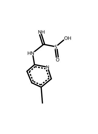 Cc1ccc(NC(=N)S(=O)O)nc1